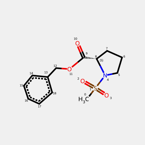 CS(=O)(=O)N1CCC[C@H]1C(=O)OCc1ccccc1